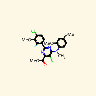 COC(=O)c1nc(-c2ccc(Cl)c(OC)c2F)nc(N(C)c2ccc(OC)cc2OC)c1Cl